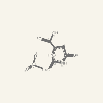 C[N+](=O)[O-].O=C(O)c1cc(=O)[nH]c(=O)[nH]1